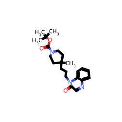 CC1(CCCn2c(=O)cnc3ccccc32)CCN(C(=O)OC(C)(C)C)CC1